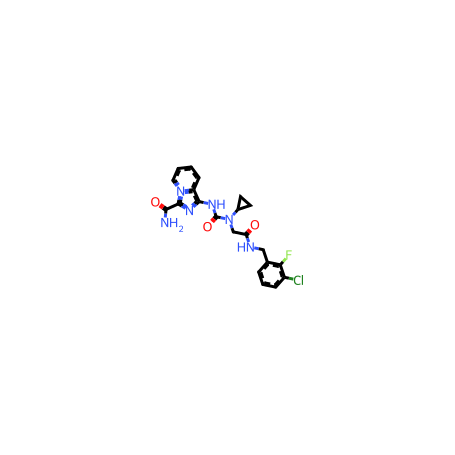 NC(=O)c1nc(NC(=O)N(CC(=O)NCc2cccc(Cl)c2F)C2CC2)c2ccccn12